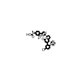 COc1cc(N(C)C(=O)O)ccc1-c1cnc([C@@H]2CCc3cc(-c4cc(Cl)ccc4-n4cnnn4)cc(=O)n32)[nH]1